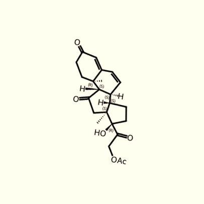 CC(=O)OCC(=O)[C@@]1(O)CC[C@H]2[C@@H]3C=CC4=CC(=O)CC[C@]4(C)[C@H]3C(=O)C[C@@]21C